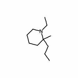 CCCC1(C)CCCCN1CC